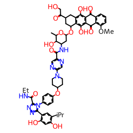 CCNC(=O)c1nnc(-c2cc(C(C)C)c(O)cc2O)n1-c1ccc(OC2CCN(c3cnc(C(=O)NC4CC(OC5CC(C(=O)CO)Cc6c(O)c7c(c(O)c65)C(=O)c5c(OC)cccc5C7=O)OC(C)C4O)cn3)CC2)cc1